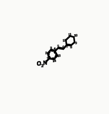 O=[N+]([O-])c1ccc(C=CC2=CCCCC2)cc1